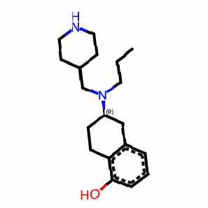 CCCN(CC1CCNCC1)[C@@H]1CCc2c(O)cccc2C1